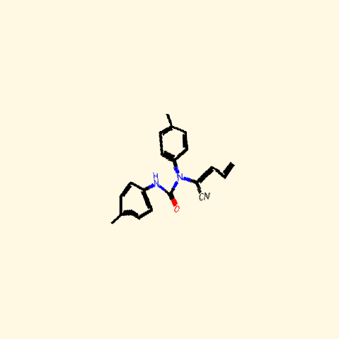 C=C/C=C(\C#N)N(C(=O)Nc1ccc(C)cc1)c1ccc(C)cc1